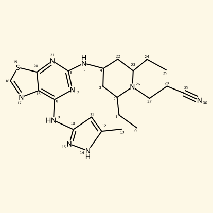 CCC1CC(Nc2nc(Nc3cc(C)[nH]n3)c3ncsc3n2)CC(CC)N1CCC#N